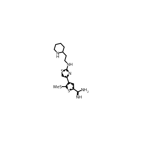 CSc1sc(C(=N)N)cc1-c1csc(NCCC2CCCCN2)n1